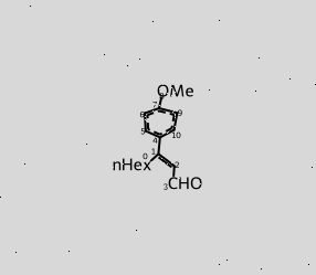 CCCCCCC(=CC=O)c1ccc(OC)cc1